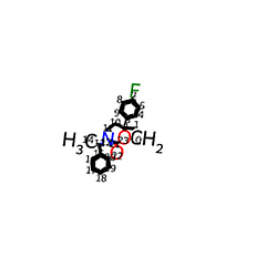 C=C[C@@]1(c2ccc(F)cc2)CCN([C@@H](C)c2ccccc2)C(=O)O1